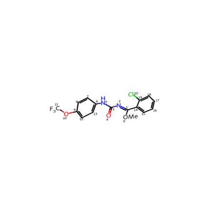 CO/C(=N\C(=O)Nc1ccc(OC(F)(F)F)cc1)c1ccccc1Cl